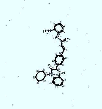 Nc1ccccc1NC(=O)C=Cc1ccc(C(Nc2ccccc2)C(=O)NC2CCCCC2)cc1